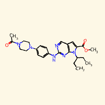 CCC(CC)n1c(C(=O)OC)cc2cnc(Nc3ccc(N4CCN(C(C)=O)CC4)cc3)nc21